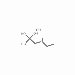 CCNCC(O)(O)O.O